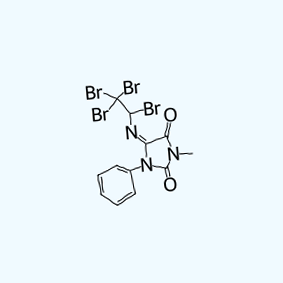 CN1C(=O)C(=NC(Br)C(Br)(Br)Br)N(c2ccccc2)C1=O